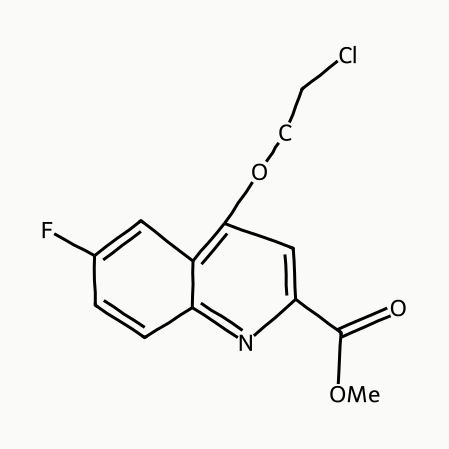 COC(=O)c1cc(OCCCl)c2cc(F)ccc2n1